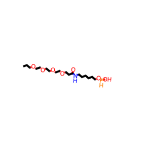 CCCOCCOCCOCCOCCC(=O)NCCCCCCOPO